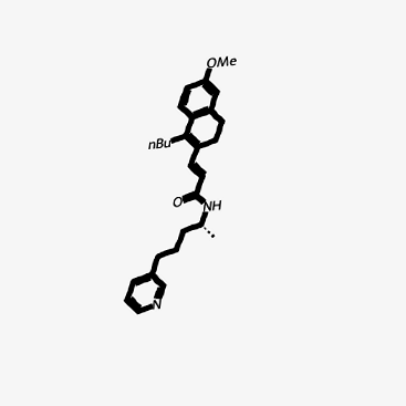 CCCCC1=C(/C=C/C(=O)N[C@H](C)CCCc2cccnc2)CCc2cc(OC)ccc21